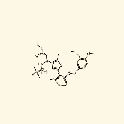 CCOC(=O)C[C@H](N[S@+]([O-])C(C)(C)C)c1cc(-c2c(C)cccc2OCc2ccc(OC)c(OC)c2)sc1C